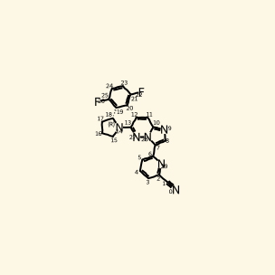 N#Cc1cccc(-c2cnc3ccc(N4CCC[C@@H]4c4cc(F)ccc4F)nn23)n1